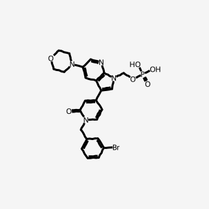 O=c1cc(-c2cn(COP(=O)(O)O)c3ncc(N4CCOCC4)cc23)ccn1Cc1cccc(Br)c1